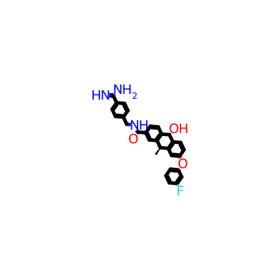 C[C@@H]1c2cc(Oc3cccc(F)c3)ccc2[C@H](O)c2ccc(C(=O)NCc3ccc(C(=N)N)cc3)cc21